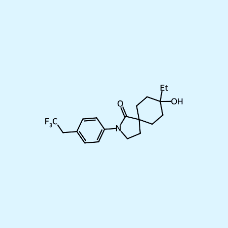 CCC1(O)CCC2(CCN(c3ccc(CC(F)(F)F)cc3)C2=O)CC1